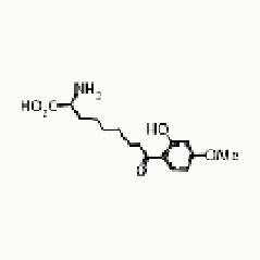 COc1ccc(C(=O)CCCCCCC(N)C(=O)O)c(O)c1